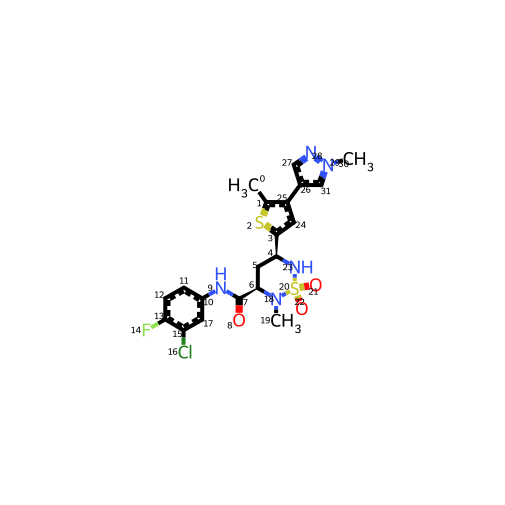 Cc1sc([C@@H]2C[C@H](C(=O)Nc3ccc(F)c(Cl)c3)N(C)S(=O)(=O)N2)cc1-c1cnn(C)c1